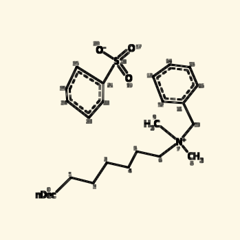 CCCCCCCCCCCCCCCC[N+](C)(C)Cc1ccccc1.O=S(=O)([O-])c1ccccc1